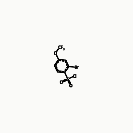 O=S(=O)(Cl)c1ccc(OC(F)(F)F)cc1Br